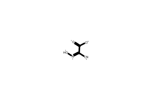 N#CC(=NO)C(=O)Cl